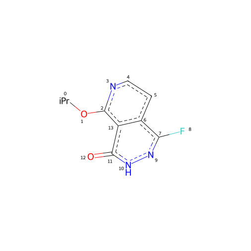 CC(C)Oc1nccc2c(F)n[nH]c(=O)c12